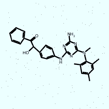 Cc1cc(C)c(N(C)c2nc(N)nc(Nc3ccc(C(O)C(=O)c4ccccc4)cc3)n2)c(C)c1